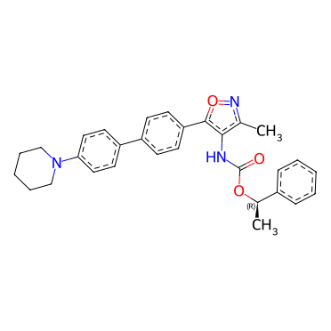 Cc1noc(-c2ccc(-c3ccc(N4CCCCC4)cc3)cc2)c1NC(=O)O[C@H](C)c1ccccc1